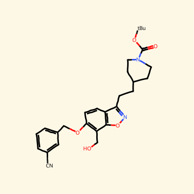 CC(C)(C)OC(=O)N1CCC(CCc2noc3c(CO)c(OCc4cccc(C#N)c4)ccc23)CC1